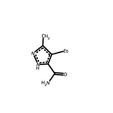 C[CH]c1c(C)n[nH]c1C(N)=O